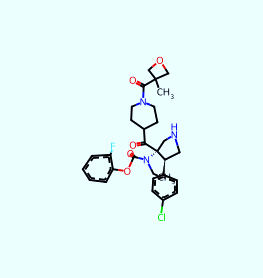 CCN(C(=O)Oc1ccccc1F)[C@]1(C(=O)C2CCN(C(=O)C3(C)COC3)CC2)CNC[C@H]1c1ccc(Cl)cc1